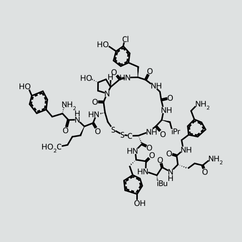 CCC(C)[C@H](NC(=O)[C@H](Cc1ccc(O)cc1)NC(=O)[C@@H]1CSSC[C@H](NC(=O)[C@@H](CCCC(=O)O)NC(=O)[C@@H](N)Cc2ccc(O)cc2)C(=O)N2C[C@H](O)C[C@@H]2C(=O)N[C@@H](Cc2ccc(O)c(Cl)c2)C(=O)NCC(=O)N[C@@H](CC(C)C)C(=O)N1)C(=O)N[C@@H](CCC(N)=O)C(=O)NCc1cccc(CN)c1